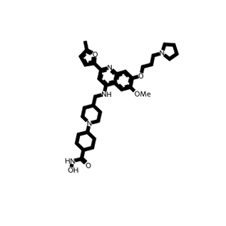 COc1cc2c(NCC3CCN(C4CCC(C(=O)NO)CC4)CC3)cc(-c3ccc(C)o3)nc2cc1OCCCN1CCCC1